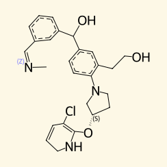 C/N=C\c1cccc(C(O)c2ccc(N3CC[C@H](OC4=C(Cl)C=CCN4)C3)c(CCO)c2)c1